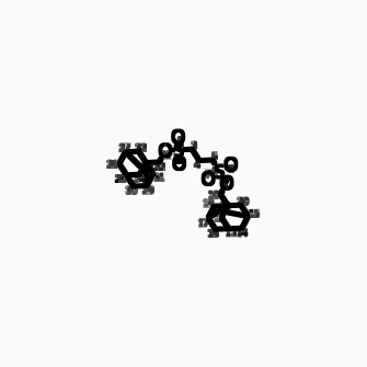 O=S(=O)(CCCS(=O)(=O)OCC12CC3CC(CC(C3)C1)C2)OCC12CC3CC(CC(C3)C1)C2